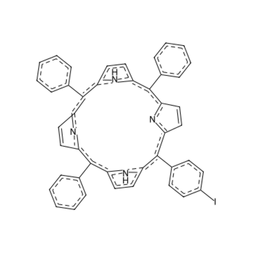 Ic1ccc(-c2c3nc(c(-c4ccccc4)c4ccc([nH]4)c(-c4ccccc4)c4nc(c(-c5ccccc5)c5ccc2[nH]5)C=C4)C=C3)cc1